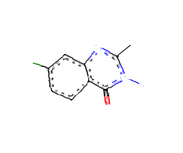 Cc1nc2cc(F)ccc2c(=O)n1N